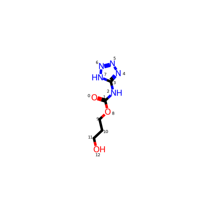 O=C(Nc1nnn[nH]1)OCCCO